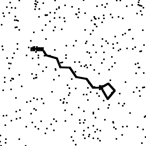 CCCCCCCCCCCCCN1CCC1